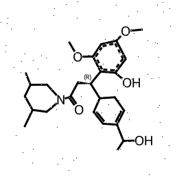 COc1cc(O)c([C@H](CC(=O)N2CC(C)CC(C)C2)C2C=CC(C(C)O)=CC2)c(OC)c1